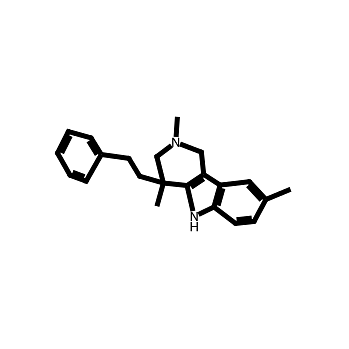 Cc1ccc2[nH]c3c(c2c1)CN(C)CC3(C)CCc1ccccc1